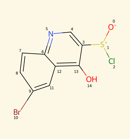 [O-][S+](Cl)c1cnc2ccc(Br)cc2c1O